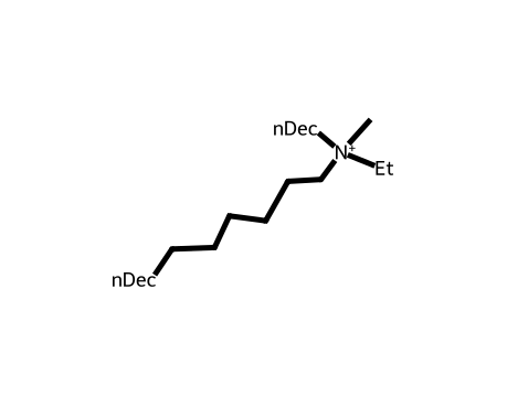 CCCCCCCCCCCCCCCC[N+](C)(CC)CCCCCCCCCC